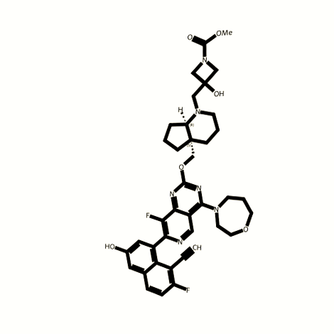 C#Cc1c(F)ccc2cc(O)cc(-c3ncc4c(N5CCCOCC5)nc(OC[C@]56CCC[C@H]5N(CC5(O)CN(C(=O)OC)C5)CCC6)nc4c3F)c12